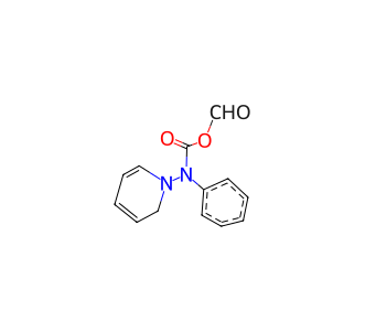 O=COC(=O)N(c1ccccc1)N1C=CC=CC1